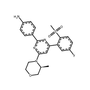 C[C@H]1COCCN1c1cc(-c2cc(F)ccc2S(C)(=O)=O)nc(-c2ccc(N)cc2)n1